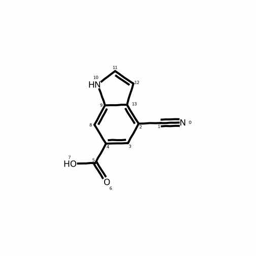 N#Cc1cc(C(=O)O)cc2[nH]ccc12